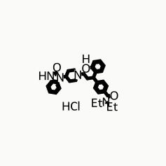 CCN(CC)C(=O)c1ccc(C(CCN2CCC(n3c(=O)[nH]c4ccccc43)CC2)c2ccccc2O)cc1.Cl